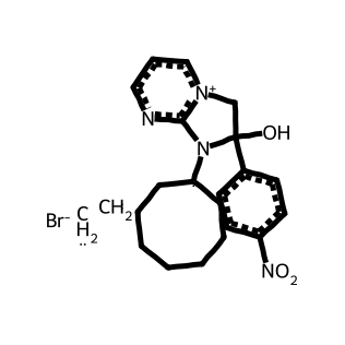 O=[N+]([O-])c1ccc(C2(O)C[n+]3cccnc3N2[C]2CCCCCCC2)cc1.[Br-].[CH2].[CH2]